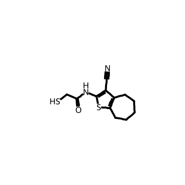 N#Cc1c(NC(=O)CS)sc2c1CCCCC2